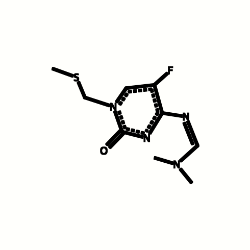 CSCn1cc(F)c(/N=C\N(C)C)nc1=O